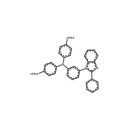 CCCCCCc1ccc(N(c2ccc(CCCCCC)cc2)c2cccc(-n3c(-c4ccccc4)nc4ccccc43)c2)cc1